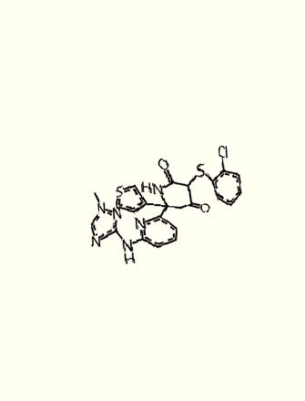 Cn1cnc(Nc2cccc(C3(c4ccsc4)CC(=O)C(Sc4ccccc4Cl)C(=O)N3)n2)n1